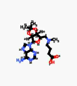 CN(CCCC(=O)O)CC1OC(N2C=NC3C(N)=NC=NC32)[C@@H]2OC(C)(C)O[C@H]12